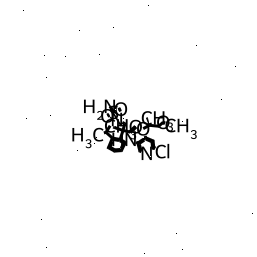 COC[C@H](C)Oc1cc(Cl)ncc1NC(=O)C1(c2ccccc2C(C)C)CN(S(N)(=O)=O)C1